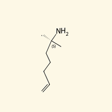 [CH2][C@@](C)(N)CCCC=C